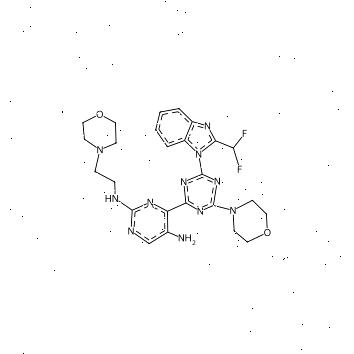 Nc1cnc(NCCN2CCOCC2)nc1-c1nc(N2CCOCC2)nc(-n2c(C(F)F)nc3ccccc32)n1